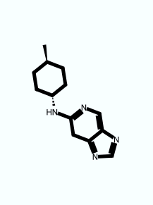 C[C@H]1CC[C@H](NC2=NC=C3N=CN=C3C2)CC1